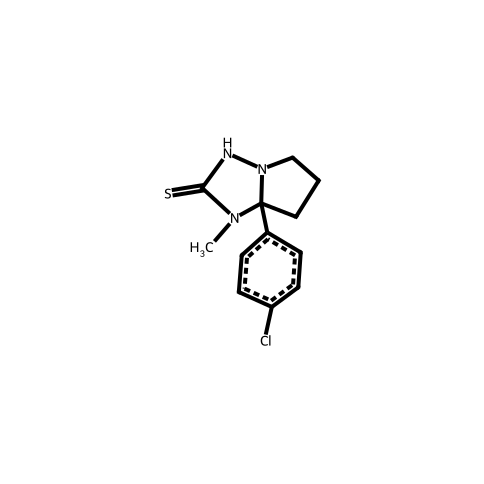 CN1C(=S)NN2CCCC21c1ccc(Cl)cc1